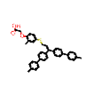 Cc1ccc(-c2ccc(C(=CCSc3ccc(OCC(=O)O)c(C)c3)c3ccc(-c4ccc(C)cc4)cc3)cc2)cc1